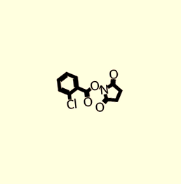 O=C(ON1C(=O)CCC1=O)c1ccccc1Cl